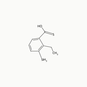 CCc1c([SiH3])cccc1C(O)=S